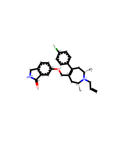 C=CCN1[C@@H](CC)CC(c2ccc(F)cc2)=C(COc2ccc3c(c2)C(=O)NC3)C[C@H]1C